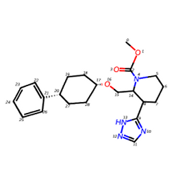 COC(=O)N1CCCC(c2ncn[nH]2)C1CO[C@H]1CC[C@@H](c2ccccc2)CC1